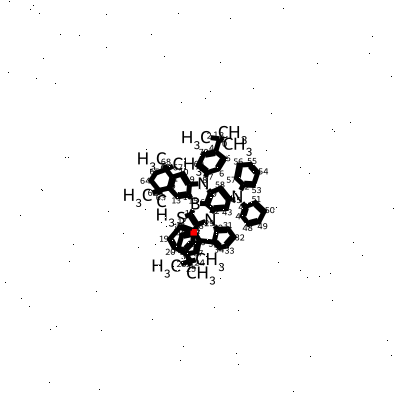 CC(C)(C)c1ccc(N2c3cc4c(cc3B3c5sc6ccc(C(C)(C)C)cc6c5N(c5ccccc5C5=CCCC=C5)c5cc(N(c6ccccc6)c6ccccc6)cc2c53)C(C)(C)CCC4(C)C)cc1